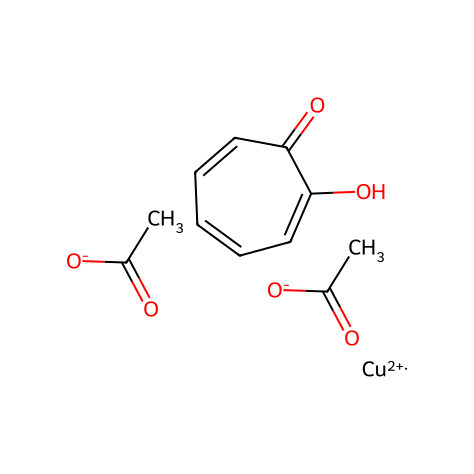 CC(=O)[O-].CC(=O)[O-].O=c1cccccc1O.[Cu+2]